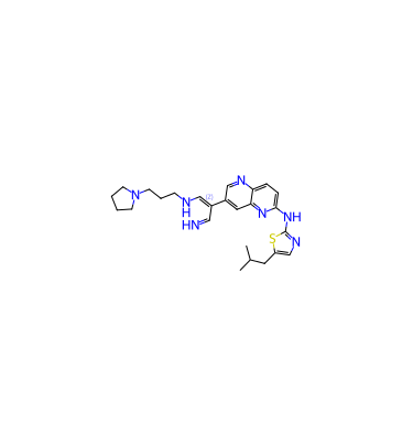 CC(C)Cc1cnc(Nc2ccc3ncc(/C(C=N)=C/NCCCN4CCCC4)cc3n2)s1